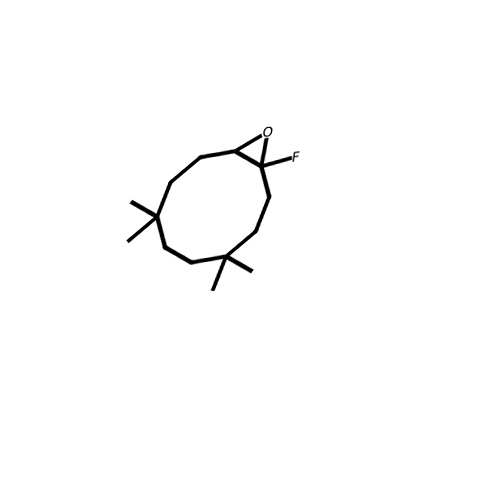 CC1(C)CCC2OC2(F)CCC(C)(C)CC1